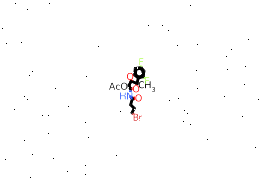 CC(=O)OC1=C(NC(=O)CCCBr)OC(C)(c2ccc(F)cc2F)C1=O